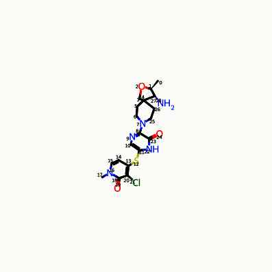 C[C@@H]1OCC2(CCN(c3ncc(Sc4ccn(C)c(=O)c4Cl)[nH]c3=O)CC2)[C@@H]1N